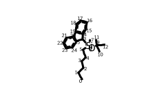 CCCCCC[Si](C)(OC(C)(C)C)C1c2ccccc2-c2ccccc21